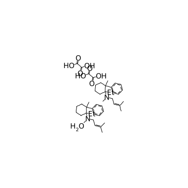 CCC1(N(C)CC=C(C)C)CCCCC1(C)c1ccccc1.CCC1(N(C)CC=C(C)C)CCCCC1(C)c1ccccc1.O.O=C(O)C(=O)O.O=C(O)C(=O)O